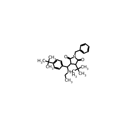 CCPC(c1ccc(C(C)(C)C)cc1)C1C(=O)N(Cc2ccccc2)C(=O)C1C(C)(C)C